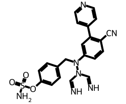 N#Cc1ccc(N(Cc2ccc(OS(N)(=O)=O)cc2)N(C=N)C=N)cc1-c1ccncc1